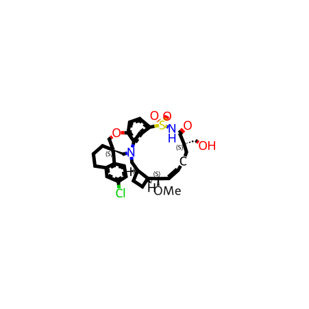 CO[C@@H]1C=CCC[C@@H](CO)C(=O)NS(=O)(=O)c2ccc3c(c2)N(C[C@@H]2CC[C@H]21)C[C@@]1(CCCc2cc(Cl)ccc21)CO3